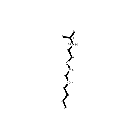 CCCCOCSSCCNC(C)C